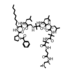 CCCCCCCC[C@H](NC(=O)[C@@H]1CCCN1C(=O)c1ccccc1)C(=O)N[C@@H](CC(C)C)C(=O)CNC(C)(C)C(=O)N[C@@H](CC(C)C)C(=O)N[C@@H](CC(C)C)C(=O)NC(C)(C)C(=O)NC(C)(C)C(=O)NCCC(=O)N[C@@H](C)CN(C)C